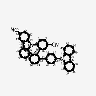 N#Cc1ccc(-n2c3ccccc3c3cc(C#N)ccc32)c(-c2c(C#N)cccc2-c2ccc(-n3c4ccccc4c4ccccc43)cc2)c1